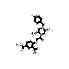 CC(=O)c1ccc(OCC(=O)N2C[C@@H](C)N(Cc3ccc(F)cc3)C[C@@H]2C)c(C(N)=O)c1